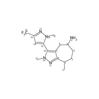 CC1CCC(N)Cc2c1nn(C)c2-c1cc(C(F)(F)F)nn1C